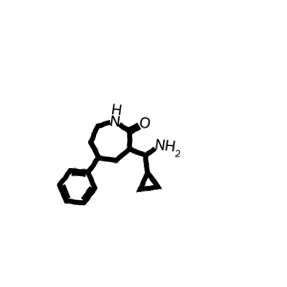 NC(C1CC1)C1CC(c2ccccc2)CCNC1=O